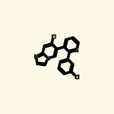 Clc1cccc(-c2ncccc2-c2cn3ccnc3cc2Cl)c1